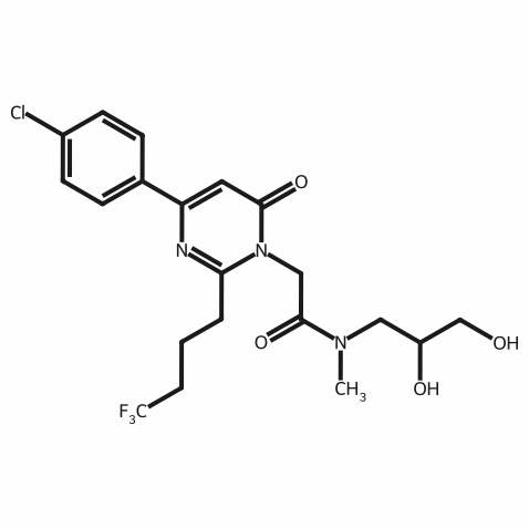 CN(CC(O)CO)C(=O)Cn1c(CCCC(F)(F)F)nc(-c2ccc(Cl)cc2)cc1=O